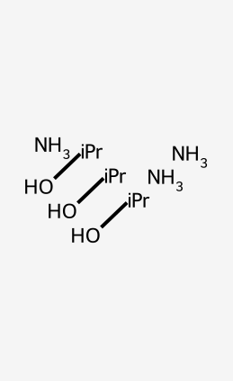 CC(C)O.CC(C)O.CC(C)O.N.N.N